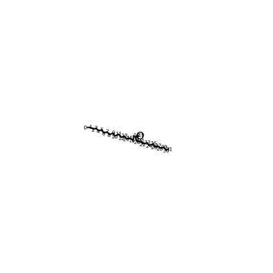 CCCCCCCCCCCCCCCCCN(C=O)CCCCCCCCCCCC